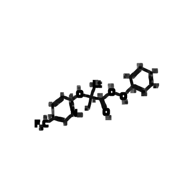 CCC(C)(Oc1ccc(C(F)(F)F)cn1)C(=O)OOc1ccccc1